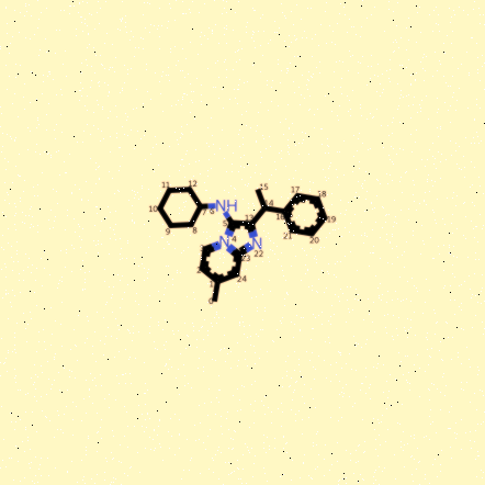 Cc1ccn2c(NC3CCCCC3)c(C(C)c3ccccc3)nc2c1